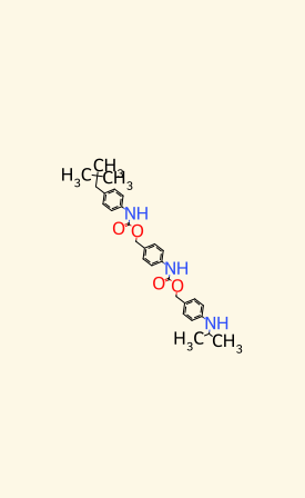 CC(C)Nc1ccc(COC(=O)Nc2ccc(COC(=O)Nc3ccc(CC(C)(C)C)cc3)cc2)cc1